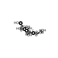 Nc1c(/N=N/c2ccc(S(=O)(=O)CCOS(=O)(=O)O)cc2)c(S(=O)(=O)O)cc2cc(S(=O)(=O)O)c(/N=N/c3cccc(O)c3)c(O)c12